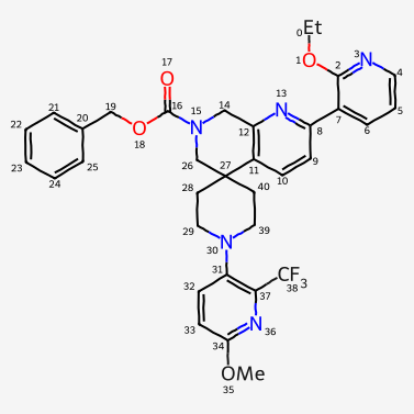 CCOc1ncccc1-c1ccc2c(n1)CN(C(=O)OCc1ccccc1)CC21CCN(c2ccc(OC)nc2C(F)(F)F)CC1